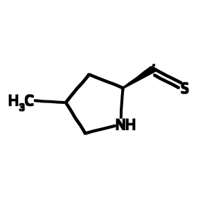 CC1CN[C@H]([C]=S)C1